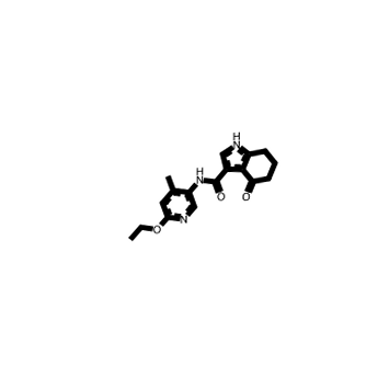 CCOc1cc(C)c(NC(=O)c2c[nH]c3c2C(=O)CCC3)cn1